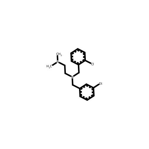 CCc1cccc(CN(CCN(C)C)Cc2ccccc2Cl)c1